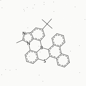 Cc1nc2cc(C(C)(C)C)cc3c2n1-c1cccc2c1B3c1c(c3ccccc3c3ccccc13)S2